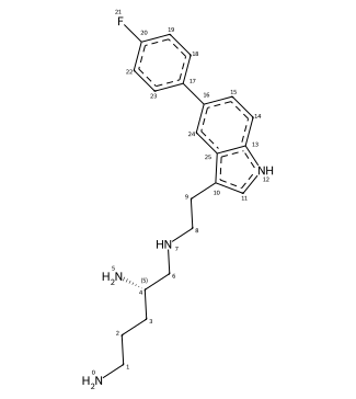 NCCC[C@H](N)CNCCc1c[nH]c2ccc(-c3ccc(F)cc3)cc12